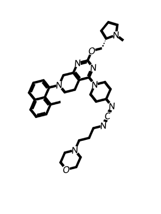 Cc1cccc2cccc(N3CCc4c(nc(OC[C@@H]5CCCN5C)nc4N4CCC(N=C=NCCCN5CCOCC5)CC4)C3)c12